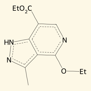 CCOC(=O)c1cnc(OCC)c2c(C)n[nH]c12